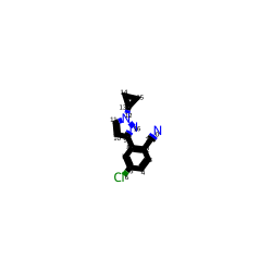 N#Cc1ccc(Cl)cc1-c1ccn(C2CC2)n1